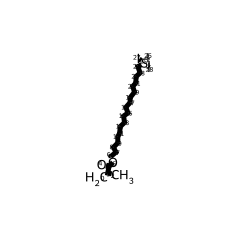 C=C(C)C(=O)OCCCCCCCCCCCCCCCCCCC[Si](I)(I)I